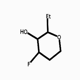 CCC1OCCC(F)C1O